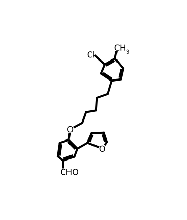 Cc1ccc(CCCCCOc2ccc(C=O)cc2-c2ccco2)cc1Cl